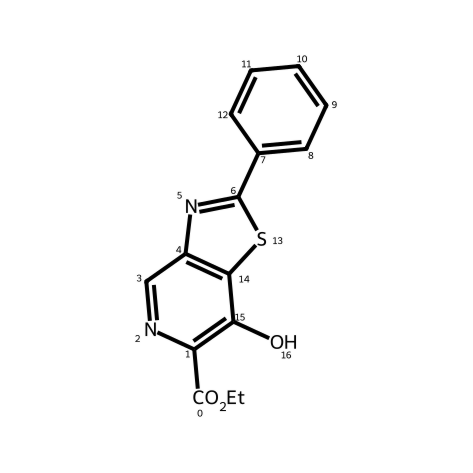 CCOC(=O)c1ncc2nc(-c3ccccc3)sc2c1O